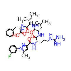 CC[C@H](C)[C@H](NC(=O)[C@H](CC(C)C)NC(=O)[C@H](CCCNC(=N)N)NC(=O)c1cc(C)n(-c2cccc(F)c2)n1)C(=O)N[C@@H](Cc1ccccc1)C(=O)O